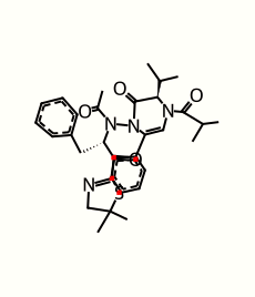 CC(=O)N([C@@H](Cc1ccccc1)C(=O)C1=NCC(C)(C)S1)N1C(=O)[C@@H](C(C)C)N(C(=O)C(C)C)C=C1c1ccccc1